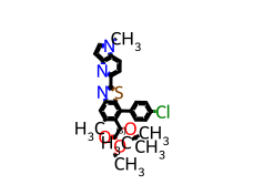 CCOC(=O)[C@@H](OC(C)(C)C)c1c(C)cc2nc(-c3ccc4c(ccn4C)n3)sc2c1-c1ccc(Cl)cc1